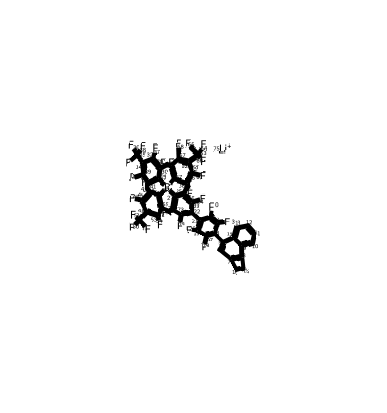 Fc1c(F)c(-c2cc3c(c4ccccc24)CC3)c(F)c(F)c1-c1c(F)c(F)c([B-](c2c(F)c(F)c(C(F)(F)F)c(F)c2F)(c2c(F)c(F)c(C(F)(F)F)c(F)c2F)c2c(F)c(F)c(C(F)(F)F)c(F)c2F)c(F)c1F.[Li+]